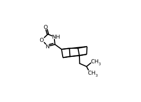 CC(C)CC12C3C4C1C1C2C3C41c1noc(=O)[nH]1